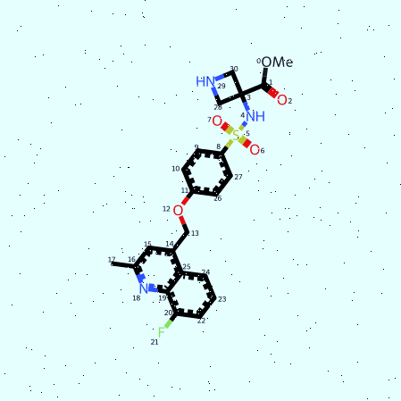 COC(=O)C1(NS(=O)(=O)c2ccc(OCc3cc(C)nc4c(F)cccc34)cc2)CNC1